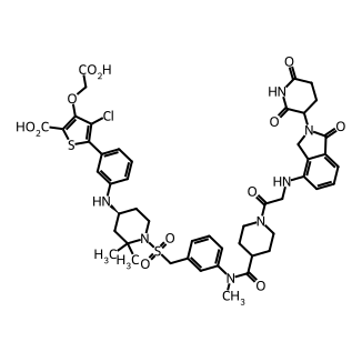 CN(C(=O)C1CCN(C(=O)CNc2cccc3c2CN(C2CCC(=O)NC2=O)C3=O)CC1)c1cccc(CS(=O)(=O)N2CC[C@H](Nc3cccc(-c4sc(C(=O)O)c(OCC(=O)O)c4Cl)c3)CC2(C)C)c1